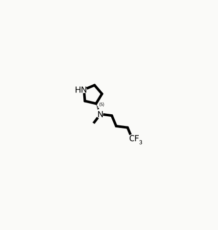 CN(CCCC(F)(F)F)[C@H]1CCNC1